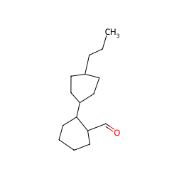 CCCC1CCC(C2CCCCC2C=O)CC1